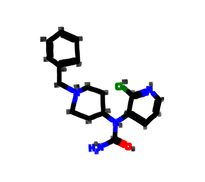 NC(=O)N(c1cccnc1Cl)C1CCN(Cc2ccccc2)CC1